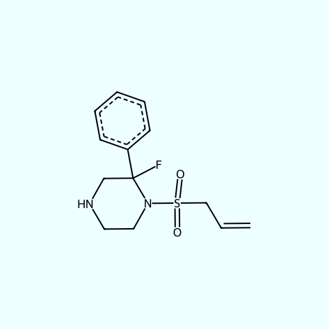 C=CCS(=O)(=O)N1CCNCC1(F)c1ccccc1